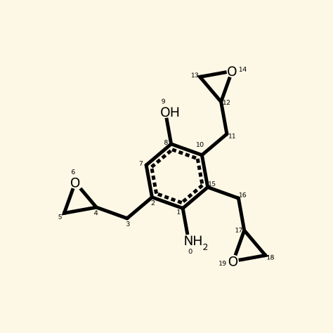 Nc1c(CC2CO2)cc(O)c(CC2CO2)c1CC1CO1